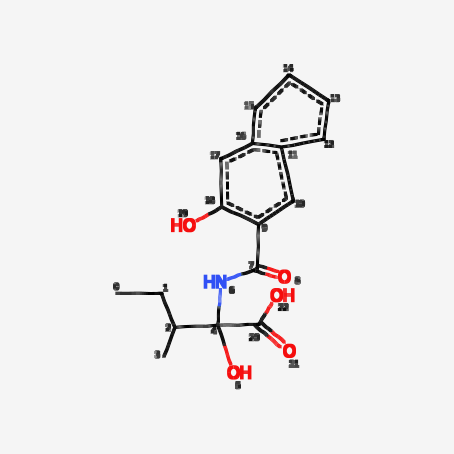 CCC(C)C(O)(NC(=O)c1cc2ccccc2cc1O)C(=O)O